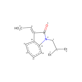 CCC(CC)CN1C(=O)/C(=C/C(=O)O)c2ccccc21